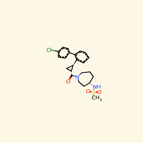 CS(=O)(=O)N[C@H]1CCCN(C(=O)[C@@H]2C[C@H]2c2ccccc2-c2ccc(Cl)cc2)CC1